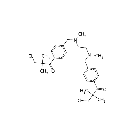 CN(CCN(C)Cc1ccc(C(=O)C(C)(C)CCl)cc1)Cc1ccc(C(=O)C(C)(C)CCl)cc1